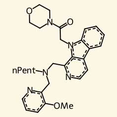 CCCCCN(Cc1ncccc1OC)Cc1nccc2c3ccccc3n(CC(=O)N3CCOCC3)c12